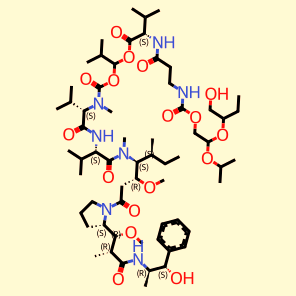 CCC(CO)OC(COC(=O)NCCC(=O)N[C@H](C(=O)OC(OC(=O)N(C)[C@H](C(=O)N[C@H](C(=O)N(C)[C@@H]([C@@H](C)CC)[C@@H](CC(=O)N1CCC[C@H]1[C@H](OC)[C@@H](C)C(=O)N[C@H](C)[C@@H](O)c1ccccc1)OC)C(C)C)C(C)C)C(C)C)C(C)C)OC(C)C